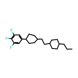 CCCC1CCC(CCC2CCC(c3cc(F)c(F)c(F)c3)CC2)CC1